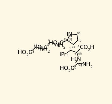 CC(C)C[C@H](N)C(=O)O.NCC(=O)O.NCC(=O)O.NCC(=O)O.O=C(O)[C@@H]1CCCN1